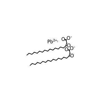 CCCCCCCCCCCCCCCC1OC1C(=O)[O-].CCCCCCCCCCCCCCCC1OC1C(=O)[O-].[Pb+2]